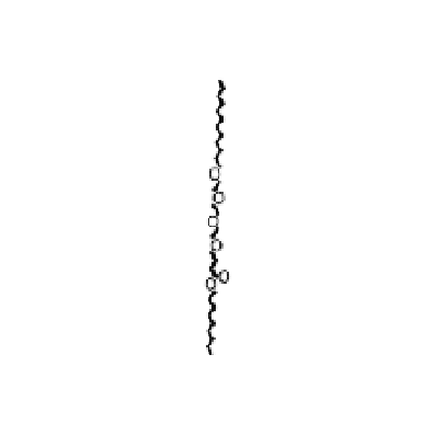 CCCCCCCCCCCCOCCOCCOCCOCCCC(=O)OCCCCCCCCC